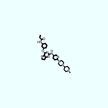 C=CC(=O)Nc1cccc(Oc2nc(Nc3ccc(N4CCN(C5CCN(C)CC5)CC4)nc3)nc3ccsc23)c1